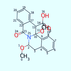 COC1Cc2ccccc2C2(OC)C(C(=O)O)c3ccccc3C(=O)N12